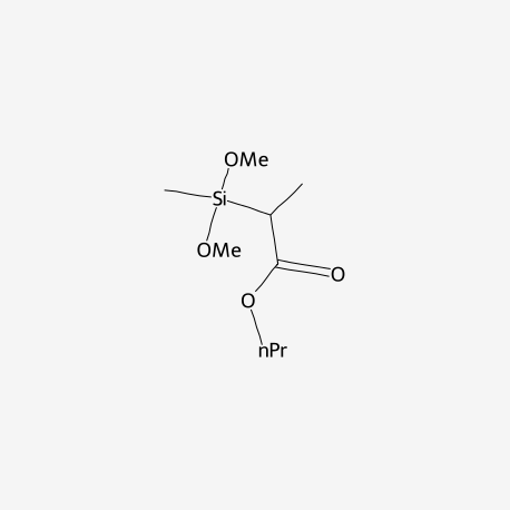 CCCOC(=O)C(C)[Si](C)(OC)OC